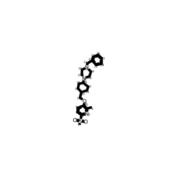 Cc1nc(S(C)(=O)=O)ccc1OCC1CCC(N2CCN(Cc3ccccc3)CC2)CC1